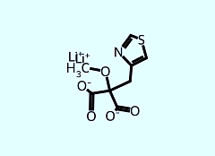 COC(Cc1cscn1)(C(=O)[O-])C(=O)[O-].[Li+].[Li+]